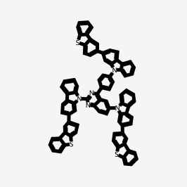 c1ccc2c(c1)sc1ccc(-c3ccc4c5ccccc5n(-c5ccc(-c6nc(-n7c8ccccc8c8ccc(-c9ccc%10sc%11ccccc%11c%10c9)cc87)nc7ccc(-n8c9ccccc9c9ccc(-c%10ccc%11sc%12ccccc%12c%11c%10)cc98)cc67)cc5)c4c3)cc12